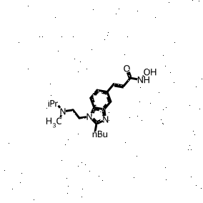 CCCCc1nc2cc(C=CC(=O)NO)ccc2n1CCN(C)C(C)C